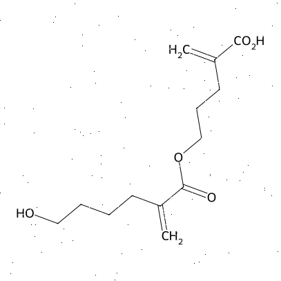 C=C(CCCOC(=O)C(=C)CCCCO)C(=O)O